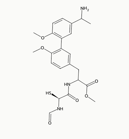 COC(=O)C(Cc1ccc(OC)c(-c2cc(C(C)N)ccc2OC)c1)NC(=O)[C@H](S)NC=O